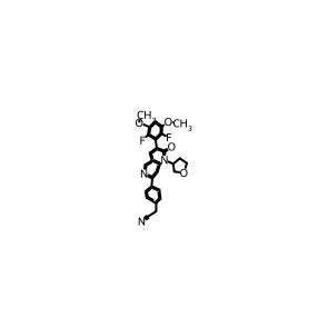 COc1cc(OC)c(F)c(-c2cc3cnc(-c4ccc(CC#N)cc4)cc3n(C3CCOC3)c2=O)c1F